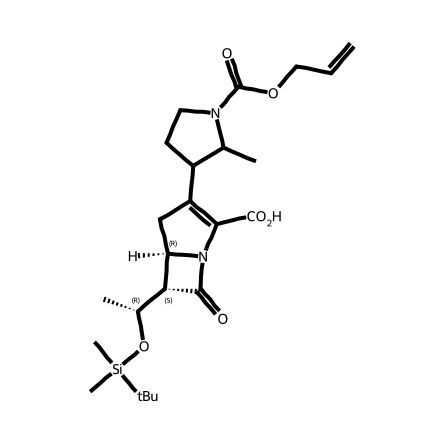 C=CCOC(=O)N1CCC(C2=C(C(=O)O)N3C(=O)[C@H]([C@@H](C)O[Si](C)(C)C(C)(C)C)[C@H]3C2)C1C